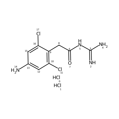 Cl.Cl.N=C(N)NC(=O)Cc1c(Cl)cc(N)cc1Cl